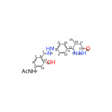 CC(=O)Nc1ccc(C=NNc2ccc(C3=NNC(=O)CC3C)cc2)c(O)c1